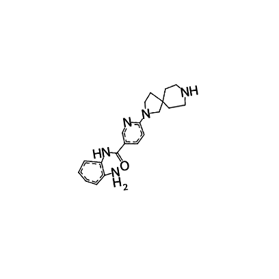 Nc1ccccc1NC(=O)c1ccc(N2CCC3(CCNCC3)C2)nc1